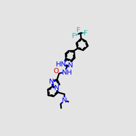 CCN(C)Cc1cccc2nc(C(=O)Nc3nc4cc(-c5cccc(C(F)(F)F)c5)ccc4[nH]3)cn12